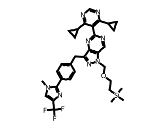 Cn1cc(C(F)(F)F)nc1-c1ccc(Cc2nn(COCC[Si](C)(C)C)c3cnc(-c4c(C5CC5)ncnc4C4CC4)nc23)cc1